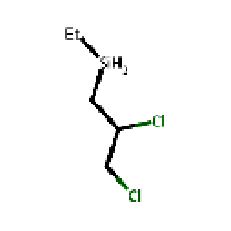 CC[SiH2]CC(Cl)CCl